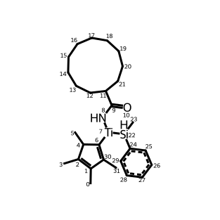 CC1=C(C)C(C)[C]([Ti]([NH]C(=O)C2CCCCCCCCCC2)[SiH](C)c2ccccc2)=C1C